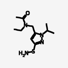 CCN(Cc1cc(SN)nn1C(C)C)C(C)=O